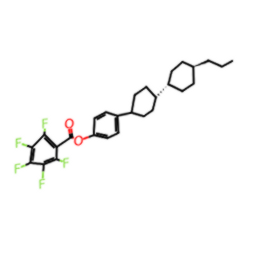 CCC[C@H]1CC[C@H](C2CCC(c3ccc(OC(=O)c4c(F)c(F)c(F)c(F)c4F)cc3)CC2)CC1